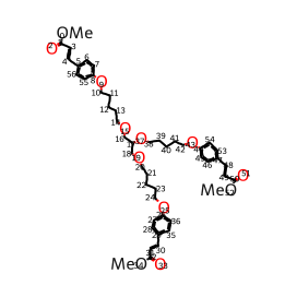 COC(=O)C=Cc1ccc(OCCCCCOCC(COCCCCCOc2ccc(C=CC(=O)OC)cc2)OCCCCCOc2ccc(C=CC(=O)OC)cc2)cc1